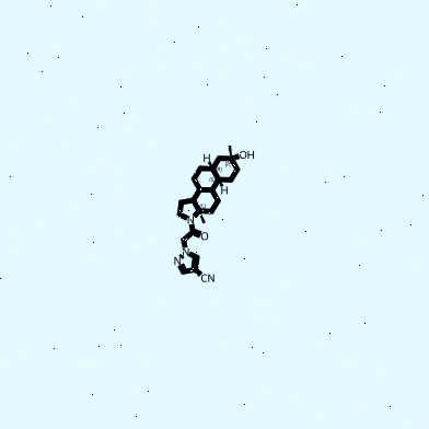 C[C@@]1(O)CC[C@@H]2C3CC[C@@]4(C)C(CCN4C(=O)Cn4cc(C#N)cn4)C3CC[C@@H]2C1